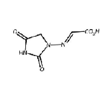 O=C(O)C=NN1CC(=O)NC1=O